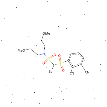 CCC(S(=O)(=O)c1cccc(C#N)c1C#N)S(=O)(=O)N(CCOC)CCOC